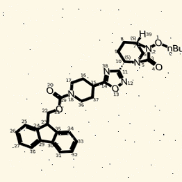 CCCCON1C(=O)N2C[C@@H]1CC[C@H]2c1noc(C2CCN(C(=O)OCC3c4ccccc4-c4ccccc43)CC2)n1